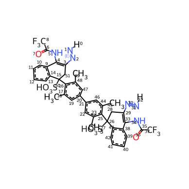 [H]/N=N/C1=C(NC(=O)C(F)(F)F)c2ccccc2C(c2c(C)cc(-c3cc(C)c(C4(S(=O)(=O)O)CC(/N=N/[H])=C(NC(=O)C(F)(F)F)c5ccccc54)c(C)c3)cc2C)(S(=O)(=O)O)C1